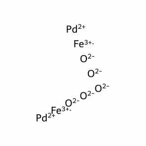 [Fe+3].[Fe+3].[O-2].[O-2].[O-2].[O-2].[O-2].[Pd+2].[Pd+2]